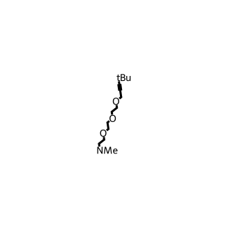 CNCCOCCOCCOCC#CC(C)(C)C